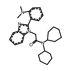 CN(C)c1ccccc1-c1nc2ccccc2n1CC(=O)N(C1CCCCC1)C1CCCCC1